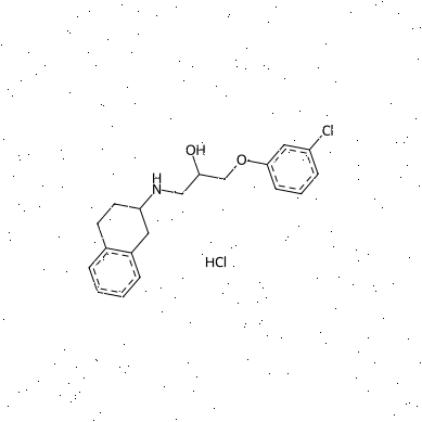 Cl.OC(CNC1CCc2ccccc2C1)COc1cccc(Cl)c1